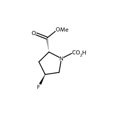 COC(=O)[C@H]1C[C@H](F)CN1C(=O)O